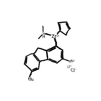 C[SiH](C)[Zr+2]([C]1=CC=CC1)[c]1cc(C(C)(C)C)cc2c1Cc1ccc(C(C)(C)C)cc1-2.[Cl-].[Cl-]